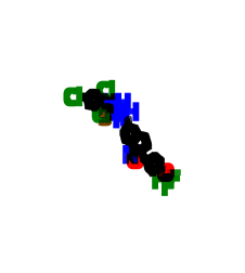 FC(F)(F)Oc1ccc(-c2onc3c2CCc2cc(/C=N/NC(=S)Nc4c(Cl)cc(Cl)cc4Cl)ccc2-3)cc1